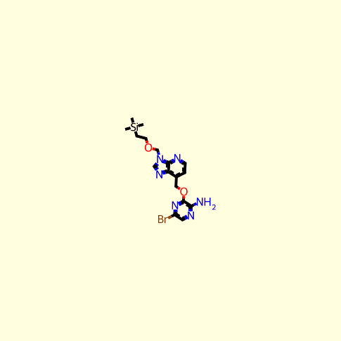 C[Si](C)(C)CCOCn1cnc2c(COc3nc(Br)cnc3N)ccnc21